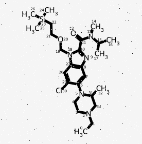 CCN1CCN(c2cc3nc(C(=O)N(C)C(C)C)n(COCC[Si](C)(C)C)c3cc2Cl)C(C)C1